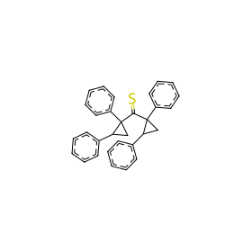 S=C(C1(c2ccccc2)CC1c1ccccc1)C1(c2ccccc2)CC1c1ccccc1